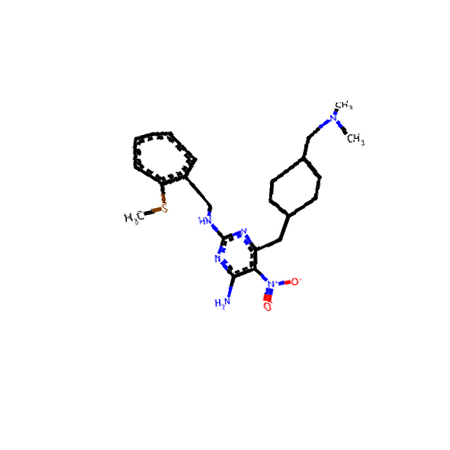 CSc1ccccc1CNc1nc(N)c([N+](=O)[O-])c(CC2CCC(CN(C)C)CC2)n1